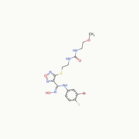 COCCNC(=O)NCCSc1nonc1/C(=N\O)Nc1ccc(F)c(Br)c1